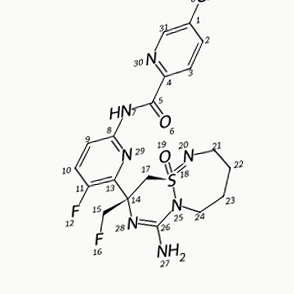 N#Cc1ccc(C(=O)Nc2ccc(F)c([C@]3(CF)C[S@@]4(=O)=NCCCCN4C(N)=N3)n2)nc1